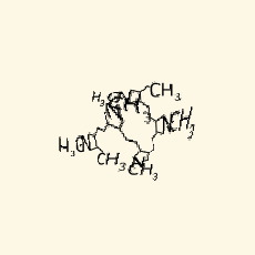 CCC1CN(C)CC1CCC1CN(C)CC1CCC1CN(C)CC1CCC1CN(C)CC1CCC1CN(C)CC1CC